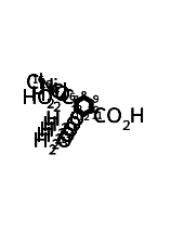 O.O.O.O.O.O.O=C(O)c1ccc(C(=O)O)cc1.[Cl][Ni][Cl]